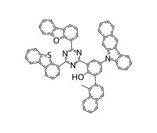 Cc1c(-c2cc(-n3c4ccccc4c4cc5ccccc5cc43)cc(-c3nc(-c4cccc5c4oc4ccccc45)nc(-c4cccc5c4sc4ccccc45)n3)c2O)ccc2ccccc12